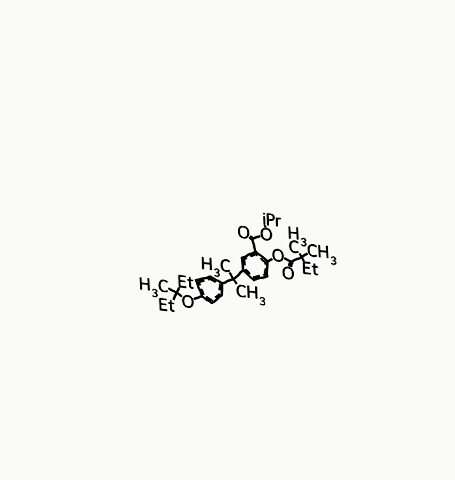 CCC(C)(CC)Oc1ccc(C(C)(C)c2ccc(OC(=O)C(C)(C)CC)c(C(=O)OC(C)C)c2)cc1